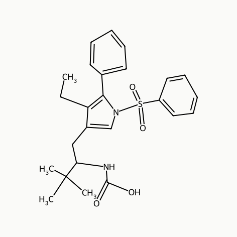 CCc1c(CC(NC(=O)O)C(C)(C)C)cn(S(=O)(=O)c2ccccc2)c1-c1ccccc1